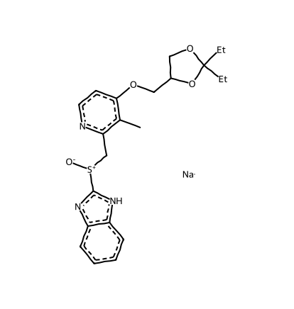 CCC1(CC)OCC(COc2ccnc(C[S+]([O-])c3nc4ccccc4[nH]3)c2C)O1.[Na]